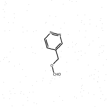 O=COCc1ccnnc1